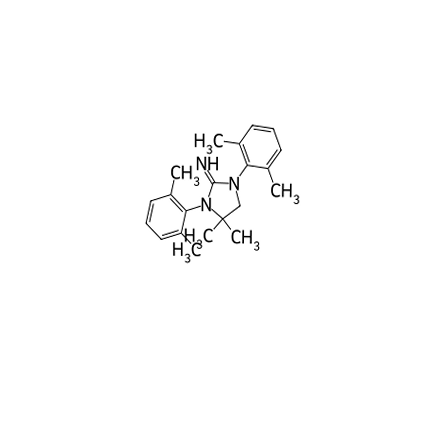 Cc1cccc(C)c1N1CC(C)(C)N(c2c(C)cccc2C)C1=N